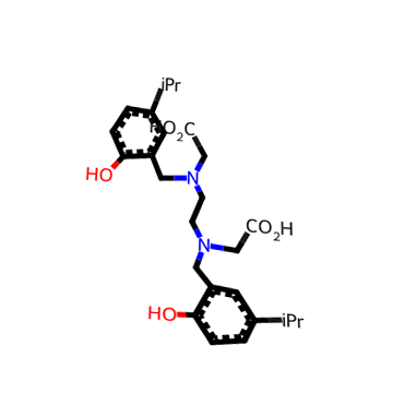 CC(C)c1ccc(O)c(CN(CCN(CC(=O)O)Cc2cc(C(C)C)ccc2O)CC(=O)O)c1